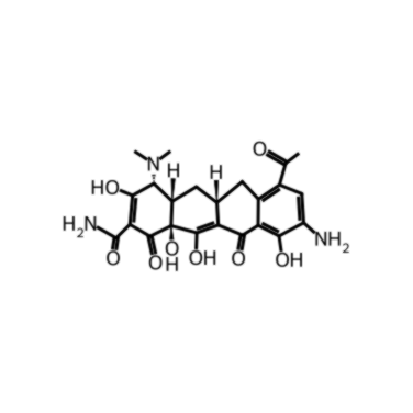 CC(=O)c1cc(N)c(O)c2c1C[C@H]1C[C@H]3[C@@H](N(C)C)C(O)=C(C(N)=O)C(=O)[C@@]3(O)C(O)=C1C2=O